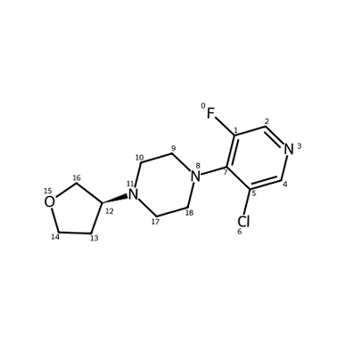 Fc1cncc(Cl)c1N1CCN([C@H]2CCOC2)CC1